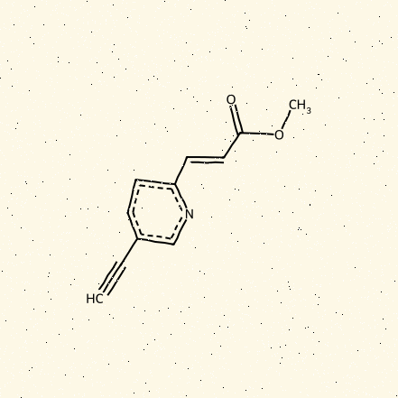 C#Cc1ccc(/C=C/C(=O)OC)nc1